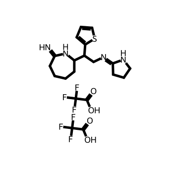 N=C1CCCCC(C(C/N=C2\CCCN2)c2cccs2)N1.O=C(O)C(F)(F)F.O=C(O)C(F)(F)F